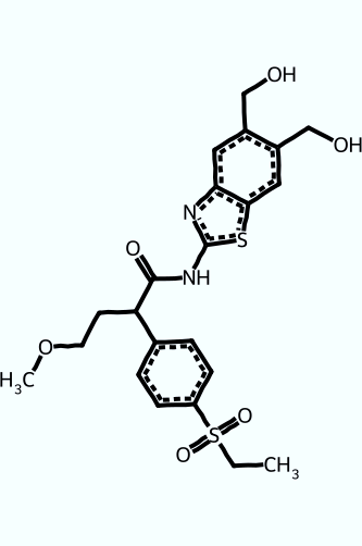 CCS(=O)(=O)c1ccc(C(CCOC)C(=O)Nc2nc3cc(CO)c(CO)cc3s2)cc1